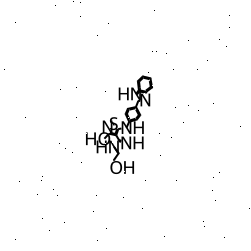 N=C(NCCO)c1c(O)nsc1Nc1ccc(-c2nc3ccccc3[nH]2)cc1